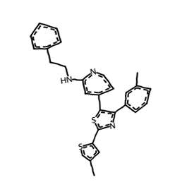 Cc1cccc(-c2nc(-c3cc(C)cs3)sc2-c2ccnc(NCCc3ccccc3)c2)c1